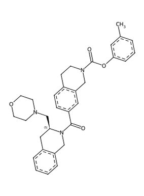 Cc1cccc(OC(=O)N2CCc3ccc(C(=O)N4Cc5ccccc5C[C@H]4CN4CCOCC4)cc3C2)c1